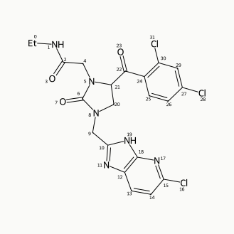 CCNC(=O)CN1C(=O)N(Cc2nc3ccc(Cl)nc3[nH]2)CC1C(=O)c1ccc(Cl)cc1Cl